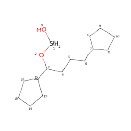 O[SiH2]OC(CCCC1CCCC1)C1CCCC1